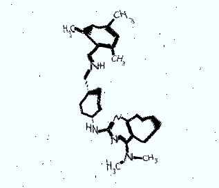 Cc1cc(C)c(CNC[C@H]2CC[C@@H](Nc3nc4c(c(N(C)C)n3)CCCC4)CC2)c(C)c1